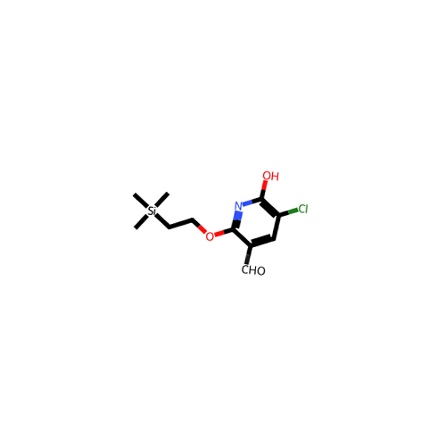 C[Si](C)(C)CCOc1nc(O)c(Cl)cc1C=O